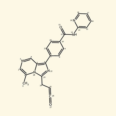 Cc1cncc2c(-c3ccc(C(=O)Nc4ccccn4)cc3)nc(CC=C=O)n12